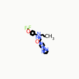 CCCc1nc(-c2ccc(OC(F)F)cc2)nn1CC(=O)N1CCN(c2ncccn2)CC1